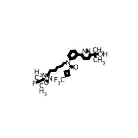 CC(C)(O)c1ccc(-c2cccc(N(CCCCCc3noc(C(C)(C)F)n3)C(=O)[C@H]3C[C@H](C(F)(F)F)C3)c2)nn1